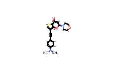 CN(C)c1ccc(C#Cc2csc3c(=O)cc(N4CCOCC4)oc23)cc1